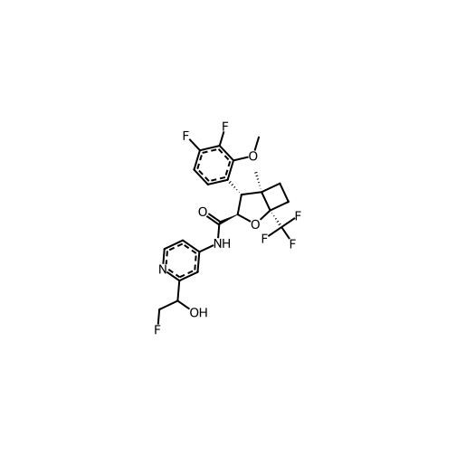 COc1c([C@H]2[C@H](C(=O)Nc3ccnc(C(O)CF)c3)O[C@]3(C(F)(F)F)CC[C@]23C)ccc(F)c1F